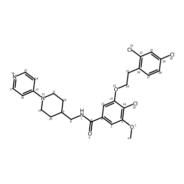 COc1cc(C(=O)NCC2CCN(c3ccncc3)CC2)cc(OCCc2ccc(Cl)cc2Cl)c1Cl